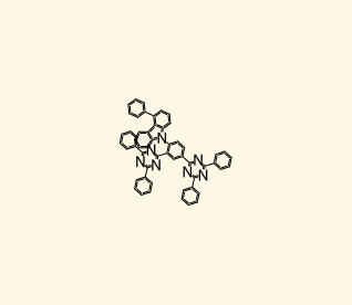 c1ccc(-c2nc(-c3ccccc3)nc(-c3ccc(-n4c5ccccc5c5c(-c6ccccc6)cccc54)c(-c4nc(-c5ccccc5)nc(-c5ccccc5)n4)c3)n2)cc1